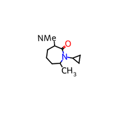 CNC1CCCC(C)N(C2CC2)C1=O